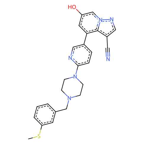 CSc1cccc(CN2CCN(c3ccc(-c4cc(O)cn5ncc(C#N)c45)cn3)CC2)c1